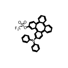 O=S(=O)(Oc1ccc2c(c1)=c1cc(N(c3ccccc3)c3ccccc3)ccc1=c1ccccc1=c1ccccc1=2)C(F)(F)F